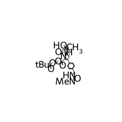 CNC(=O)NCc1ccc(C2=C(C(=O)OCOC(=O)C(C)(C)C)N3C(=O)[C@H]([C@@H](C)O)[C@H]3C2)cc1